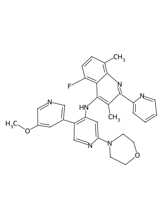 COc1cncc(-c2cnc(N3CCOCC3)cc2Nc2c(C)c(-c3ccccn3)nc3c(C)ccc(F)c23)c1